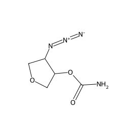 [N-]=[N+]=NC1COCC1OC(N)=O